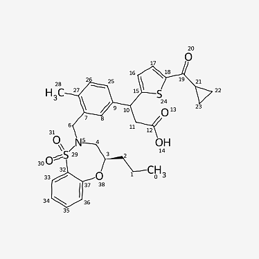 CCC[C@@H]1CN(Cc2cc(C(CC(=O)O)c3ccc(C(=O)C4CC4)s3)ccc2C)S(=O)(=O)c2ccccc2O1